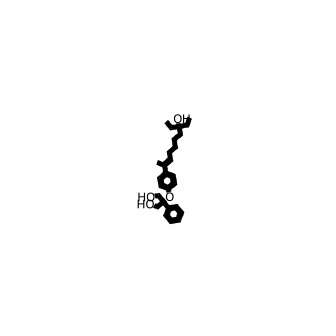 CCC(O)(CC)CCCC/C=C(\C)c1ccc(OC(CO)(CO)c2ccccc2)cc1